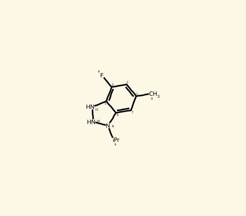 Cc1cc(F)c2c(c1)N(C(C)C)NN2